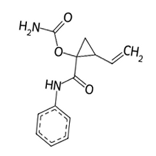 C=CC1CC1(OC(N)=O)C(=O)Nc1ccccc1